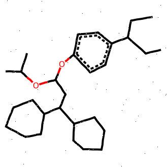 CCC(CC)c1ccc(OC(CC(C2CCCCC2)C2CCCCC2)OC(C)C)cc1